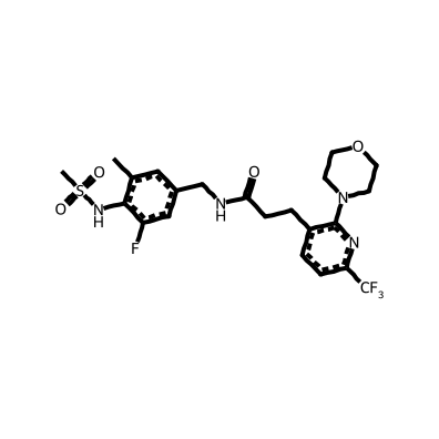 Cc1cc(CNC(=O)CCc2ccc(C(F)(F)F)nc2N2CCOCC2)cc(F)c1NS(C)(=O)=O